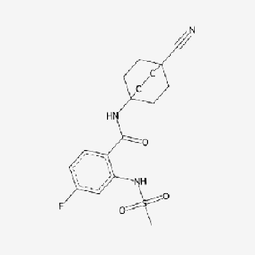 CS(=O)(=O)Nc1cc(F)ccc1C(=O)NC12CCC(C#N)(CC1)CC2